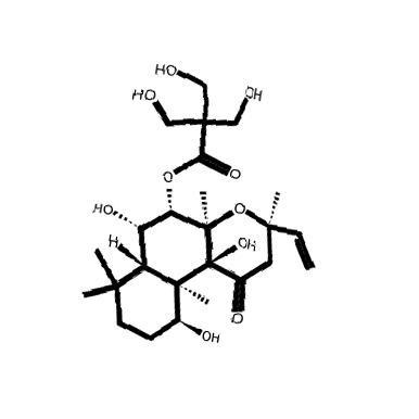 C=C[C@@]1(C)CC(=O)[C@]2(O)[C@@]3(C)[C@@H](O)CCC(C)(C)[C@@H]3[C@H](O)[C@H](OC(=O)C(CO)(CO)CO)[C@@]2(C)O1